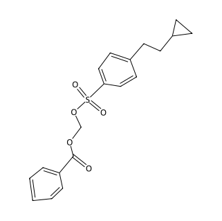 O=C(OCOS(=O)(=O)c1ccc(CCC2CC2)cc1)c1ccccc1